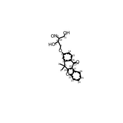 CC1(C)c2cc(OCC(O)C(CO)N=O)ccc2C(=O)c2c1oc1ccccc21